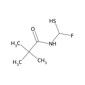 CC(C)(C)C(=O)NC(F)S